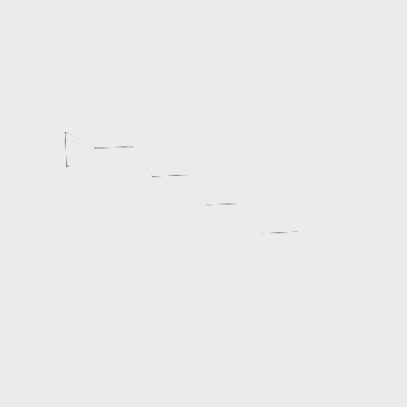 CCCCCCCCC1=CC1